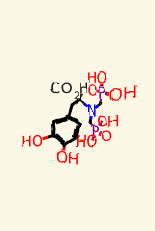 O=C(O)[C@H](Cc1ccc(O)c(O)c1)N(CP(=O)(O)O)CP(=O)(O)O